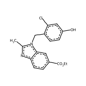 CCOC(=O)c1ccc2nc(C)n(Cc3ccc(O)cc3Cl)c2c1